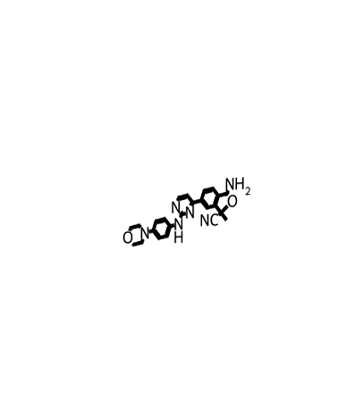 CC(C)(C#N)c1cc(-c2ccnc(Nc3ccc(N4CCOCC4)cc3)n2)ccc1C(N)=O